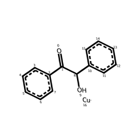 O=C(c1ccccc1)C(O)c1ccccc1.[Cu]